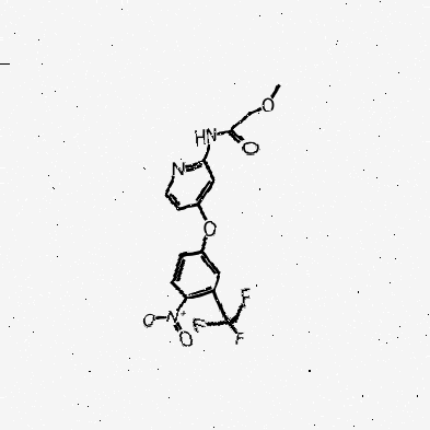 COCC(=O)Nc1cc(Oc2ccc([N+](=O)[O-])c(C(F)(F)F)c2)ccn1